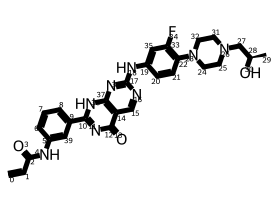 C=CC(=O)Nc1cccc(-c2nc(=O)c3cnc(Nc4ccc(N5CCN(C[C@@H](C)O)CC5)c(F)c4)nc3[nH]2)c1